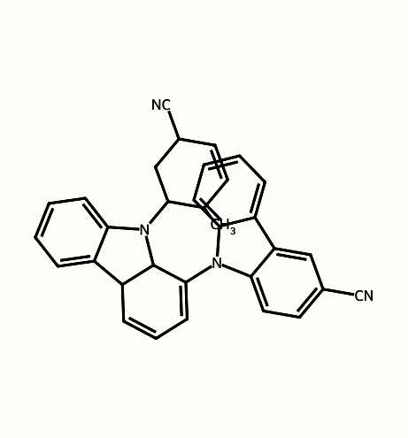 CC1C=CC(C#N)CC1N1c2ccccc2C2C=CC=C(n3c4ccccc4c4cc(C#N)ccc43)C21